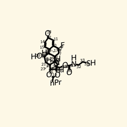 CCCC1O[C@@H]2C[C@H]3[C@@H]4C[C@H](F)C5=CC(=O)C=C[C@]5(C)[C@H]4[C@@H](O)C[C@]3(C)[C@]2(C(=O)COC(=O)NCCS)O1